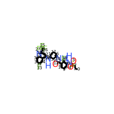 CCCS(=O)(=O)Nc1cccc(C(=O)N[C@@H]2CCC[C@H](Nc3cc(C(F)(F)F)nc4ccc(F)cc34)C2)c1F